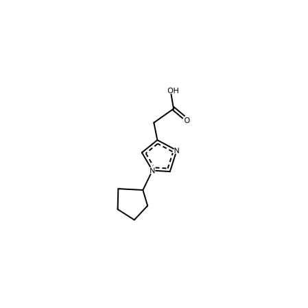 O=C(O)Cc1cn(C2CCCC2)cn1